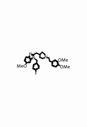 COc1ccc2nc(CC3CCN(CCc4ccc(OC)c(OC)c4)CC3)n(Cc3ccc(F)cc3)c2c1